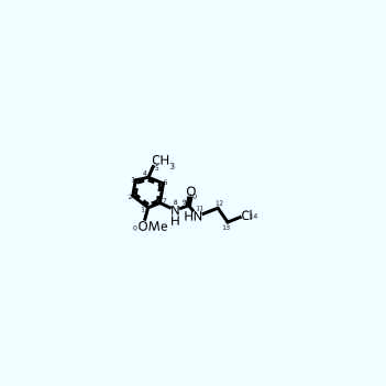 COc1ccc(C)cc1NC(=O)NCCCl